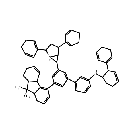 CC1(C)C2CC=CC(c3cc(-c4cccc(NC5CCC=CC5C5=CCCC=C5)c4)cc(C4C5C(C6=CCCC=C6)CC(C6=CCCC=C6)[N@]45)c3)=C2C2C=CCCC21